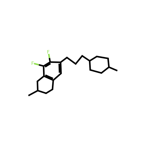 CC1CCC(CCCc2cc3c(c(F)c2F)CC(C)CC3)CC1